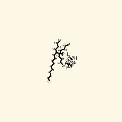 CCCCCCCCCCC(CCCC)C(P)(CCCC)CCCC.O=S(=O)(O)C(F)(F)F